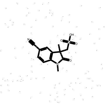 CN1C(=O)C(C)(CS(=O)(=O)O)c2cc(C#N)ccc21